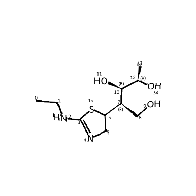 CCNC1=NCC([C@H](CO)[C@@H](O)[C@@H](C)O)S1